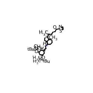 C[C@H](CCCC(=O)c1nccs1)[C@H]1CC[C@H]2/C(=C/C=C3C[C@@H](O[Si](C)(C)C(C)(C)C)C[C@H](O[Si](C)(C)C(C)(C)C)C3)CCC[C@]12C